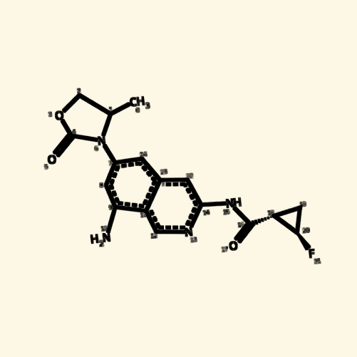 CC1COC(=O)N1c1cc(N)c2cnc(NC(=O)[C@@H]3C[C@H]3F)cc2c1